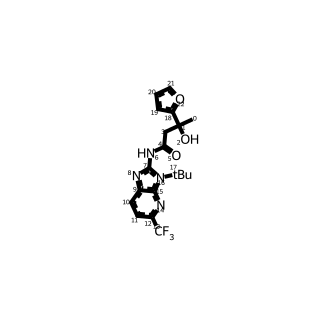 CC(O)(CC(=O)Nc1nc2ccc(C(F)(F)F)nc2n1C(C)(C)C)c1ccco1